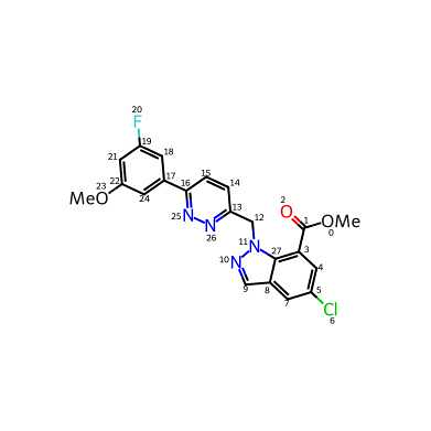 COC(=O)c1cc(Cl)cc2cnn(Cc3ccc(-c4cc(F)cc(OC)c4)nn3)c12